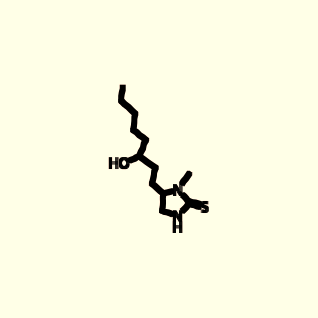 CCCCCC(O)CCC1CNC(=S)N1C